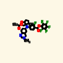 CC1CCC(=O)C1(COC(=O)C(C)(C)C)N(c1ccc(C(=O)Oc2c(F)c(F)c(F)c(F)c2F)c(F)c1)C1CCC2=C(C1)CN(C)C=N2